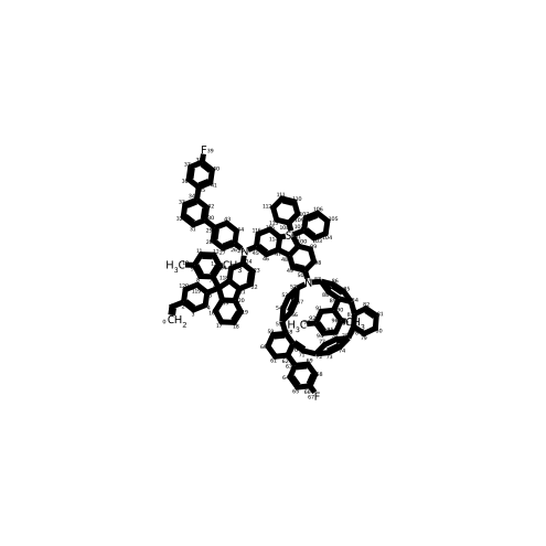 C=CC1=CCC(C2(c3cc(C)ccc3C)C3CCC=CC3C3C=CC(N(C4=CC=C(c5cccc(-c6ccc(F)cc6)c5)CC4)C4=CC5C6C=C(N7C8=CCC(C=C8)C8=CCCC(c9ccc(F)cc9)/C8=C/C8C=CC(=CC8)C8CCC=CC8C8C=CC7=CC8C7CC(C)=CCC7C)CCC6[Si](C6=CCCC=C6)(C6CC=CCC6)C5CC4)CC32)CC1